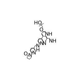 CC(C)(O)COC1=CN/C(=C(/C#N)C=N)C(c2ccc(NCc3ccc(N4CCCC4=O)nc3)nc2)=C1